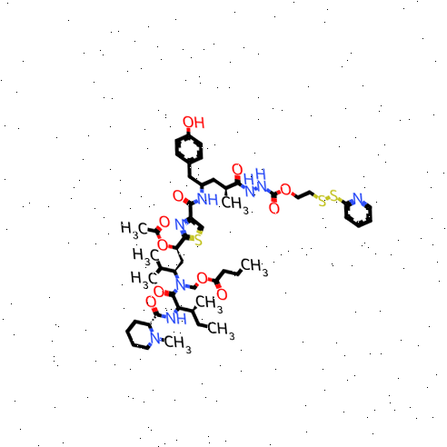 CCCC(=O)OCN(C(=O)C(NC(=O)[C@H]1CCCCN1C)[C@@H](C)CC)[C@H](C[C@@H](OC(C)=O)c1nc(C(=O)NC(Cc2ccc(O)cc2)C[C@H](C)C(=O)NNC(=O)OCCSSc2ccccn2)cs1)C(C)C